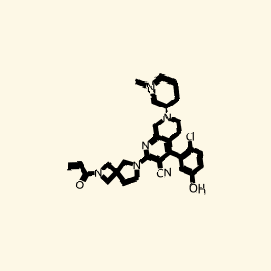 C=CC(=O)N1CC2(CCN(c3nc4c(c(-c5cc(O)ccc5Cl)c3C#N)CCN([C@H]3CCCN(C)C3)C4)C2)C1